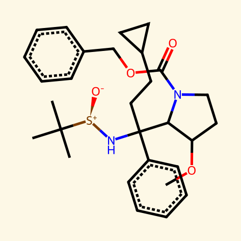 COC1CCN(C(=O)OCc2ccccc2)C1C(CCC1CC1)(N[S@+]([O-])C(C)(C)C)c1ccccc1